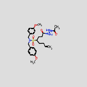 C=CCCC(CCC(=O)NNC(C)=O)S(=O)(=O)N(Cc1ccc(OC)cc1)Cc1ccc(OC)cc1